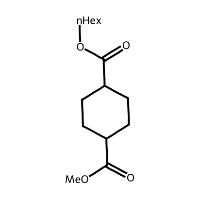 CCCCCCOC(=O)C1CCC(C(=O)OC)CC1